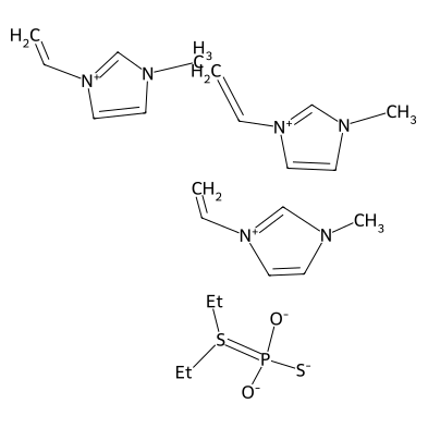 C=C[n+]1ccn(C)c1.C=C[n+]1ccn(C)c1.C=C[n+]1ccn(C)c1.CCS(CC)=P([O-])([O-])[S-]